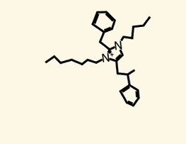 CCCCCCC[n+]1c(CC(C)c2ccccc2)cn(CCCCC)c1Cc1ccccc1